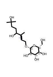 C/C(=C\CO[C@@H]1O[C@H](CO)[C@@H](O)[C@H](O)[C@H]1O)C(O)CCC(C)(C)O